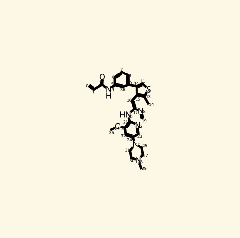 C=CC(=O)Nc1cccc(-c2csc(C)c2/C=C(\N=C)Nc2ncc(N3CCN(C)CC3)cc2OC)c1